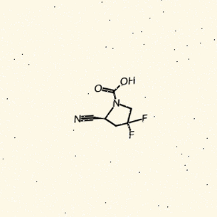 N#C[C@@H]1CC(F)(F)CN1C(=O)O